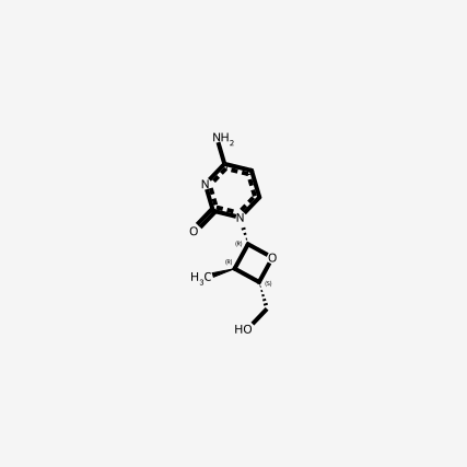 C[C@H]1[C@H](n2ccc(N)nc2=O)O[C@@H]1CO